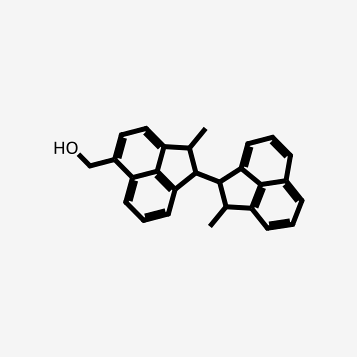 CC1c2cccc3cccc(c23)C1C1c2cccc3c(CO)ccc(c23)C1C